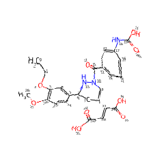 CCOc1cc(C2CC=CN(C(=O)c3cccc(NC(=O)O)c3)N2)ccc1OC.O=C(O)C=CC(=O)O